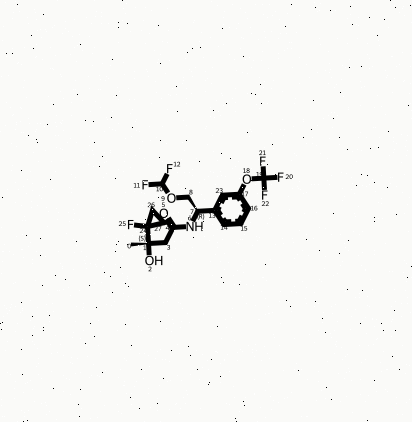 C[C@](O)(CC(=O)N[C@@H](COC(F)F)c1cccc(OC(F)(F)F)c1)C1(F)CC1